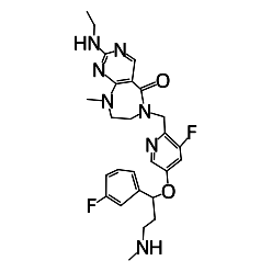 CCNc1ncc2c(n1)N(C)CCN(Cc1ncc(OC(CCNC)c3cccc(F)c3)cc1F)C2=O